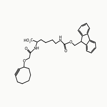 O=C(COC1C#CCCCCC1)NC(CCCCNC(=O)OCC1c2ccccc2-c2ccccc21)C(=O)O